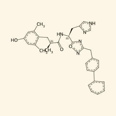 Cc1cc(O)cc(C)c1C[C@H](C)C(=O)N[C@@H](Cc1c[nH]cn1)c1nc(Cc2ccc(-c3ccccc3)cc2)no1